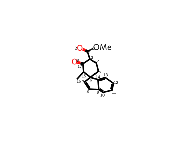 COC(=O)C1CCC2(C=Cc3ccccc32)C(C)C1=O